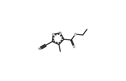 CCOC(=O)c1noc(C#N)c1C